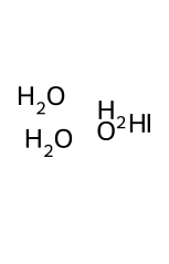 I.O.O.O